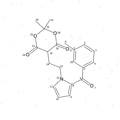 Cc1cccc(C(=O)c2cccn2CCC2C(=O)OC(C)(C)OC2=O)c1